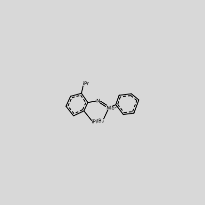 CC(C)c1cccc(C(C)C)c1[N]=[Mo+2]([c]1ccccc1)[C](C)(C)C